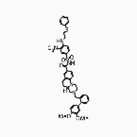 COc1ccc(-c2ccccc2CN2CCN3c4ccc(C(=O)NS(=O)(=O)c5ccc(NCCSc6ccccc6)c([N+](=O)[O-])c5)cc4CC[C@H]3C2)cc1OC